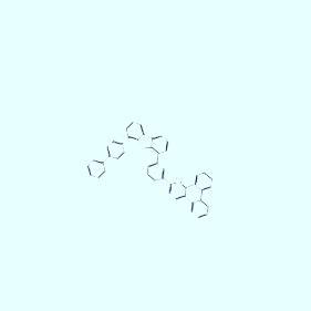 c1ccc(-c2ccc(-c3cccc4c3oc3c(-c5cccc(-c6ccc7c8ccccc8c8ccccc8c7n6)c5)cccc34)cc2)cc1